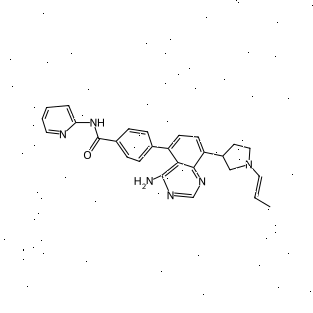 CC=CN1CCC(c2ccc(-c3ccc(C(=O)Nc4ccccn4)cc3)c3c(N)ncnc23)C1